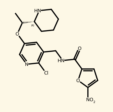 CC(Oc1cnc(Cl)c(CNC(=O)c2ccc([N+](=O)[O-])o2)c1)[C@H]1CCCCN1